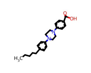 CCCCCc1ccc(N2CCN(c3ccc(C(=O)O)cc3)CC2)cc1